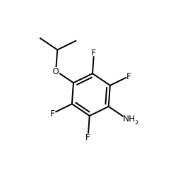 CC(C)Oc1c(F)c(F)c(N)c(F)c1F